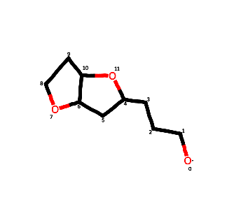 [O]CCCC1CC2OCCC2O1